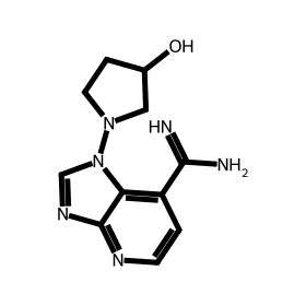 N=C(N)c1ccnc2ncn(N3CCC(O)C3)c12